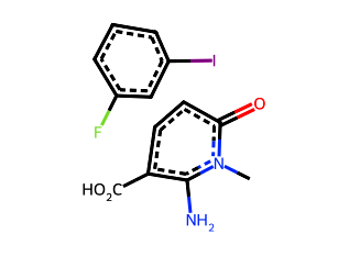 Cn1c(N)c(C(=O)O)ccc1=O.Fc1cccc(I)c1